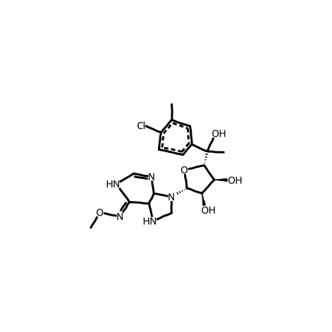 CO/N=C1\NC=NC2C1NCN2[C@@H]1O[C@H](C(C)(O)c2ccc(Cl)c(C)c2)[C@@H](O)[C@H]1O